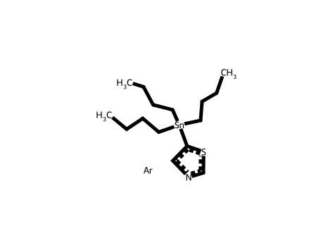 CCC[CH2][Sn]([CH2]CCC)([CH2]CCC)[c]1cncs1.[Ar]